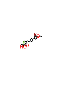 CCCOc1ccc(-c2ccc(CCC(CC)C[C@@](F)(C(=O)O)C3CCCCC3)cc2)cc1Br